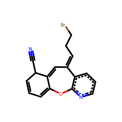 N#CC1C=CC=C2Oc3ncccc3C(=CCCBr)C=C21